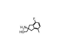 Cc1ccc(F)c2c1CC(N)(CO)C2